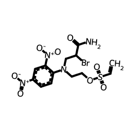 C=CS(=O)(=O)OCCN(CC(Br)C(N)=O)c1ccc([N+](=O)[O-])cc1[N+](=O)[O-]